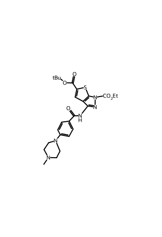 CCOC(=O)n1nc(NC(=O)c2ccc(N3CCN(C)CC3)cc2)c2cc(C(=O)OC(C)(C)C)sc21